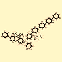 CC1(C)c2cc(-c3ccccc3)ccc2-c2ccc(N(c3ccccc3)c3ccc4c(c3)C(C)(C)c3cc(-c5ccc(-c6ccc(-c7ccccc7)cc6)cc5)ccc3-4)cc21